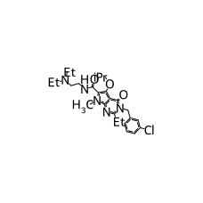 CCc1nc2c(c(OC(C)C)c(C(=O)NCCN(CC)CC)n2C)c(=O)n1Cc1cccc(Cl)c1